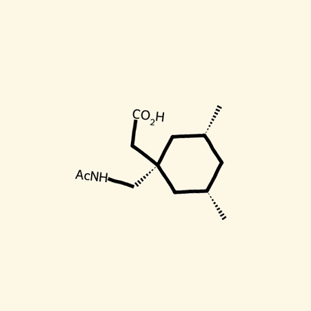 CC(=O)NC[C@]1(CC(=O)O)C[C@H](C)C[C@H](C)C1